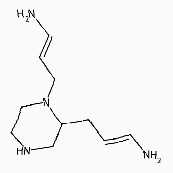 NC=CCC1CNCCN1CC=CN